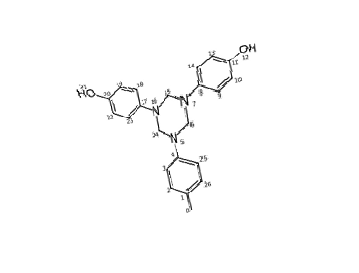 Cc1ccc(N2CN(c3ccc(O)cc3)CN(c3ccc(O)cc3)C2)cc1